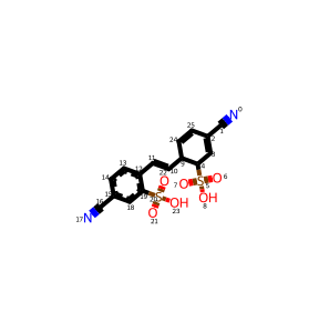 N#CC1=CC(S(=O)(=O)O)C(C=Cc2ccc(C#N)cc2S(=O)(=O)O)C=C1